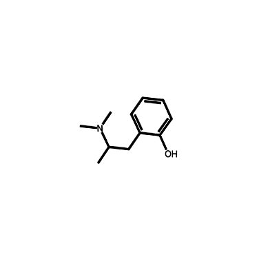 CC(Cc1ccccc1O)N(C)C